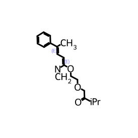 C=N/C(=C\C=C(/C)c1ccccc1)OCCOCC(=O)C(C)C